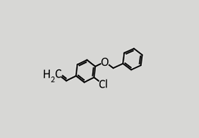 C=Cc1ccc(OCc2ccccc2)c(Cl)c1